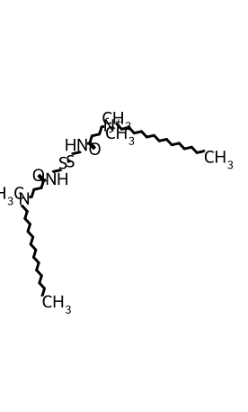 CCCCCCCCCCCCCCCCN(C)CCCC(=O)NCCSSCCNC(=O)CCC[N+](C)(C)CCCCCCCCCCCCCCCC